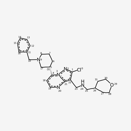 Clc1nn2c([C@H]3CCCN(Cc4ccccc4)C3)ccnc2c1CNCC1CCOCC1